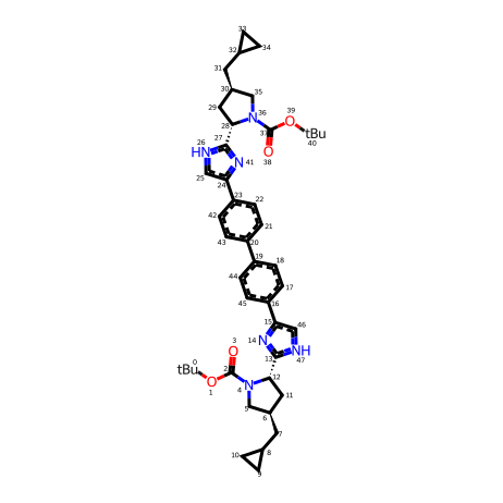 CC(C)(C)OC(=O)N1C[C@H](CC2CC2)C[C@H]1c1nc(-c2ccc(-c3ccc(-c4c[nH]c([C@@H]5C[C@@H](CC6CC6)CN5C(=O)OC(C)(C)C)n4)cc3)cc2)c[nH]1